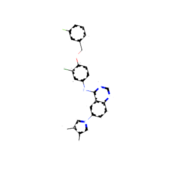 O=C(O)c1cn(-c2ccc3ncnc(Nc4ccc(OCc5cccc(F)c5)c(Cl)c4)c3c2)cc1C(F)(F)F